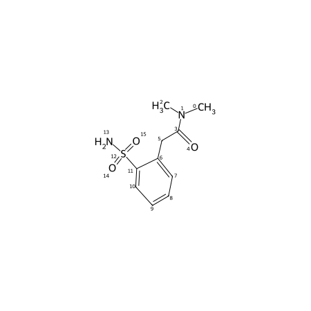 CN(C)C(=O)Cc1ccccc1S(N)(=O)=O